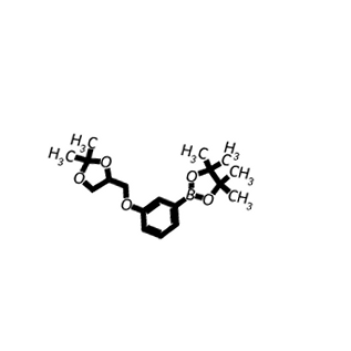 CC1(C)OCC(COc2cccc(B3OC(C)(C)C(C)(C)O3)c2)O1